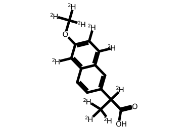 [2H]c1c(OC([2H])([2H])[2H])c([2H])c2ccc(C([2H])(C(=O)O)C([2H])([2H])[2H])cc2c1[2H]